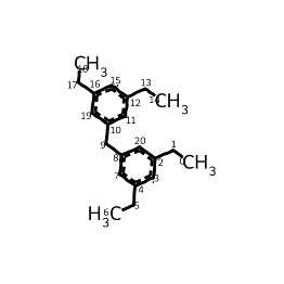 CCc1[c]c(CC)cc(Cc2cc(CC)[c]c(CC)c2)c1